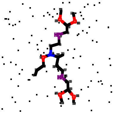 CCCON(CCPCC(OC)OC)C(C)CCPCC(OC)OC